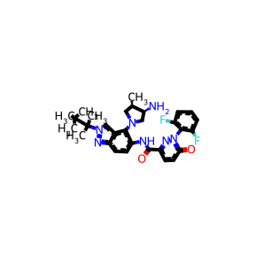 C[C@@H]1CN(c2c(NC(=O)c3ccc(=O)n(-c4c(F)cccc4F)n3)ccc3nn(C(C)(C)C(C)(C)C)cc23)C[C@@H]1N